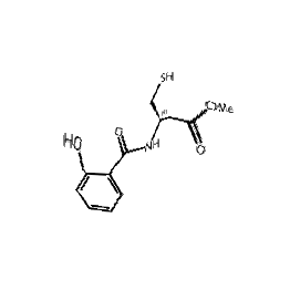 COC(=O)[C@H](CS)NC(=O)c1ccccc1O